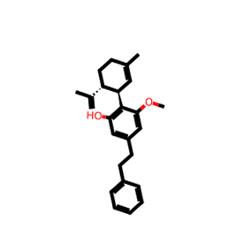 C=C(C)[C@@H]1CCC(C)=C[C@H]1c1c(O)cc(CCc2ccccc2)cc1OC